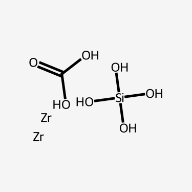 O=C(O)O.O[Si](O)(O)O.[Zr].[Zr]